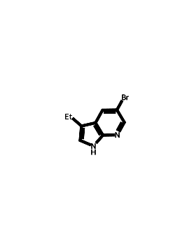 CCc1c[nH]c2ncc(Br)cc12